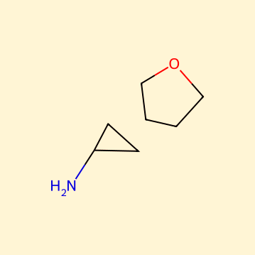 C1CCOC1.NC1CC1